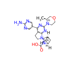 C[C@H]1COCCN1c1nc(-c2cnc(N)nc2)c2c(n1)N([C@@H]1[C@@H]3C[C@H]1N(C(=O)O)C3)CC2